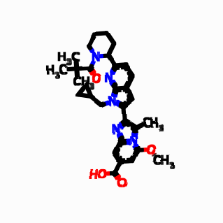 COc1cc(C(=O)O)cc2nc(-c3cc4ccc(C5CCCCN5C(=O)C(C)(C)C)nc4n3CC3CC3)c(C)n12